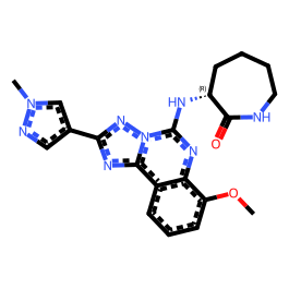 COc1cccc2c1nc(N[C@@H]1CCCCNC1=O)n1nc(-c3cnn(C)c3)nc21